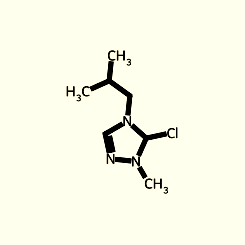 CC(C)CN1C=NN(C)C1Cl